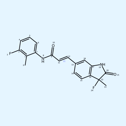 Cc1c(F)cccc1NC(=O)/C=C/c1ccc2c(c1)NC(=O)C2(C)F